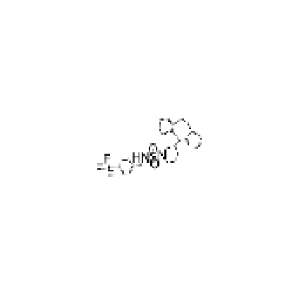 O=S(=O)(NCc1ccc(C(F)(F)F)cc1)N1CCCC(C2c3ccccc3CCc3ccccc32)C1